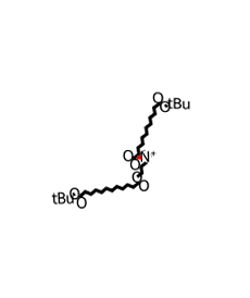 CC(C)(C)OC(=O)CCCCCCCCCCC(=O)OCC(C[N+](C)(C)C)OC(=O)CCCCCCCCCCC(=O)OC(C)(C)C